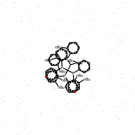 CCCCc1ccccc1P(c1ccccc1CCCC)C(CCCC)C(P(c1ccccc1CCCC)c1ccccc1CCCC)(P(c1ccccc1CCCC)c1ccccc1CCCC)P(c1ccccc1CCCC)c1ccccc1CCCC